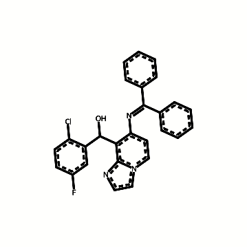 OC(c1cc(F)ccc1Cl)c1c(N=C(c2ccccc2)c2ccccc2)ccn2ccnc12